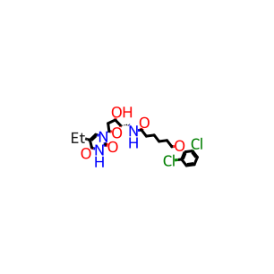 CCc1cn([C@@H]2CC(O)[C@H](CNC(=O)CCCCCOc3c(Cl)cccc3Cl)O2)c(=O)[nH]c1=O